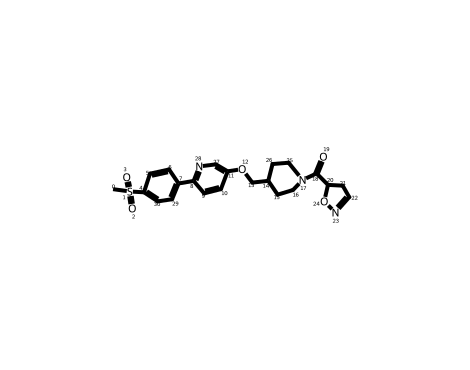 CS(=O)(=O)c1ccc(-c2ccc(OCC3CCN(C(=O)C4CC=NO4)CC3)cn2)cc1